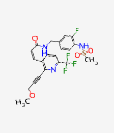 COCC#Cc1nc(C(F)(F)F)ccc1/C=C\C(=O)NCc1ccc(NS(C)(=O)=O)c(F)c1